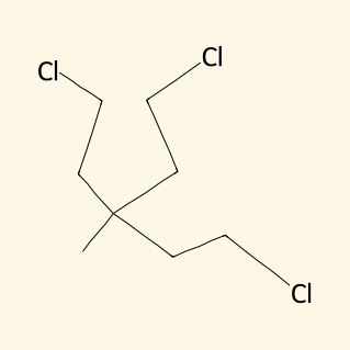 CC(CCCl)(CCCl)CCCl